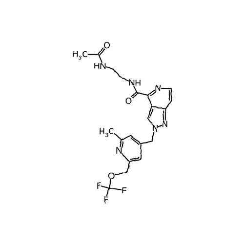 CC(=O)NCCNC(=O)c1nccc2nn(Cc3cc(C)nc(COC(F)(F)F)c3)cc12